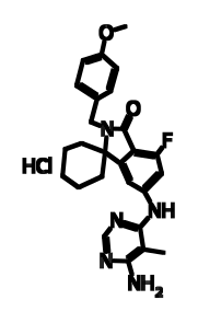 COc1ccc(CN2C(=O)c3c(F)cc(Nc4ncnc(N)c4C)cc3C23CCCCC3)cc1.Cl